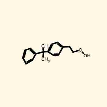 CC(C)(c1ccccc1)c1ccc(CCOO)cc1